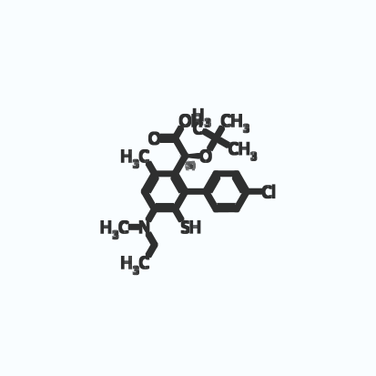 CCN(C)c1cc(C)c([C@H](OC(C)(C)C)C(=O)O)c(-c2ccc(Cl)cc2)c1S